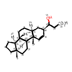 C[C@@]12CCC[C@H]1[C@@H]1CC[C@H]3C[C@@H](C(O)CC(=O)O)C=C[C@]3(C)[C@H]1CC2